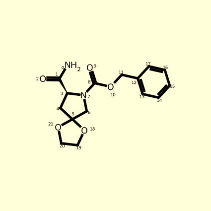 NC(=O)[C@@H]1CC2(CN1C(=O)OCc1ccccc1)OCCO2